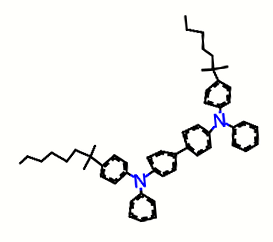 CCCCCCC(C)(C)c1ccc(N(c2ccccc2)c2ccc(-c3ccc(N(c4ccccc4)c4ccc(C(C)(C)CCCCC)cc4)cc3)cc2)cc1